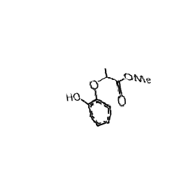 COC(=O)C(C)Oc1ccccc1O